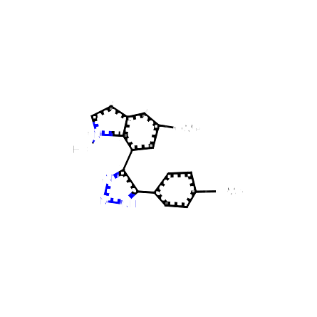 COc1ccc(-c2[nH]nnc2-c2cc(OC)cc3ccn(C)c23)cc1